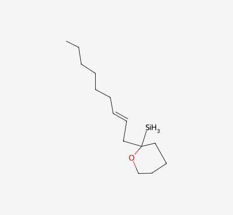 CCCCCCC=CCC1([SiH3])CCCCO1